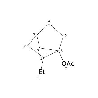 CCC1CC2CCC1(OC(C)=O)C2